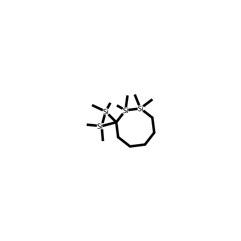 C[Si]1(C)CCCCCC2([Si]1(C)C)[Si](C)(C)[Si]2(C)C